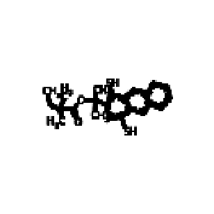 CCC(C)(C)C(=O)OC(C)(C)c1cc(S)c2cc3ccccc3cc2c1S